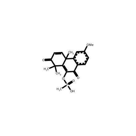 COc1ccc2c(c1)C1(C)C=CC(=O)C(C)(C)C1=C(OP(C)(=O)O)C2=O